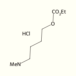 CCOC(=O)OCCCCNC.Cl